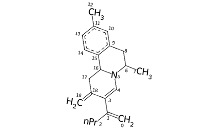 C=C(CCC)C1=CN2C(C)Cc3cc(C)ccc3C2CC1=C